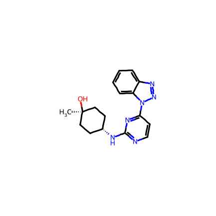 C[C@]1(O)CC[C@H](Nc2nccc(-n3nnc4ccccc43)n2)CC1